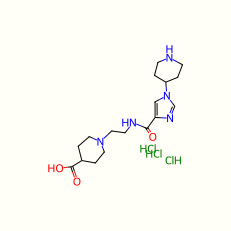 Cl.Cl.Cl.O=C(NCCN1CCC(C(=O)O)CC1)c1cn(C2CCNCC2)cn1